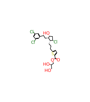 O=C(OCC(O)CO)c1ccc(CCC[C@@H]2[C@@H](CCc3cc(Cl)cc(Cl)c3)[C@H](O)C[C@H]2Cl)s1